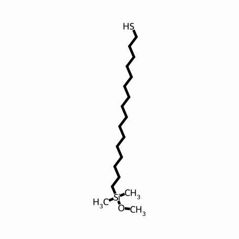 CO[Si](C)(C)CCCCCCCCCCCCCCCCS